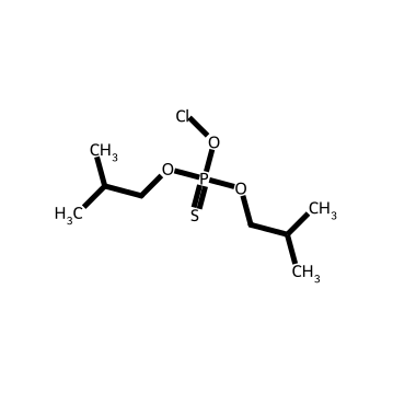 CC(C)COP(=S)(OCl)OCC(C)C